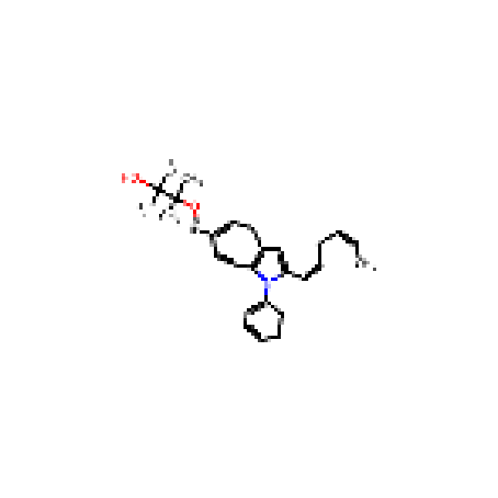 C/C=C\C/C=C\c1cc2c(n1C1=CC=CCC1)C=CC(BOC(C)(C)C(C)(C)O)=CC2